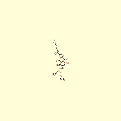 CCCCCOC(=O)c1ccc2c(c1)C(=O)c1c(O)c(NCC(CC)CCCC)cc(O)c1C2=O